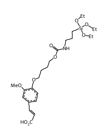 CCO[Si](CCCNC(=O)OCCCCOc1ccc(/C=C/C(=O)O)cc1OC)(OCC)OCC